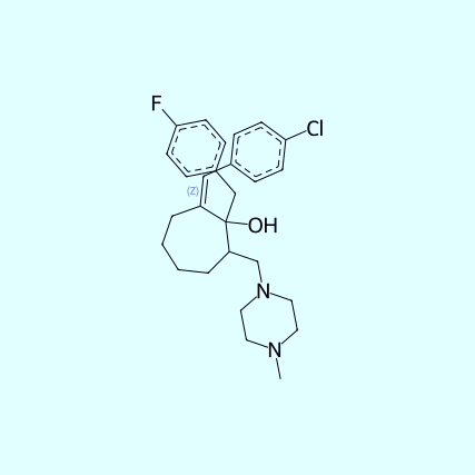 CN1CCN(CC2CCCC/C(=C/c3ccc(Cl)cc3)C2(O)Cc2ccc(F)cc2)CC1